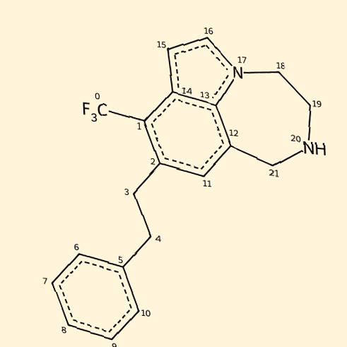 FC(F)(F)c1c(CCc2ccccc2)cc2c3c1ccn3CCNC2